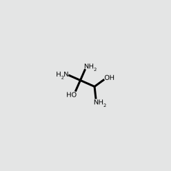 NC(O)C(N)(N)O